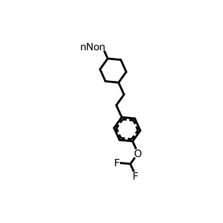 CCCCCCCCCC1CCC(CCc2ccc(OC(F)F)cc2)CC1